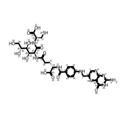 Nc1nc2ncc(CNc3ccc(C(=O)N[C@@H](CCC(=O)N[C@H](C(=O)N[C@H](CS)C(=O)O)[C@@H](O)[C@H](O)[C@H](O)CO)C(=O)O)cc3)nc2c(=O)[nH]1